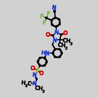 CN(C)C=NS(=O)(=O)c1ccc(Nc2ccccc2CN2C(=O)N(c3ccc(C#N)c(C(F)(F)F)c3)C(=O)C2(C)C)cc1